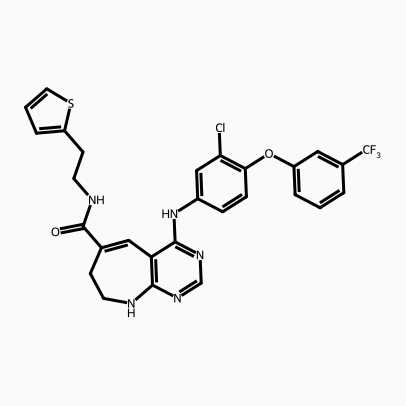 O=C(NCCc1cccs1)C1=Cc2c(ncnc2Nc2ccc(Oc3cccc(C(F)(F)F)c3)c(Cl)c2)NCC1